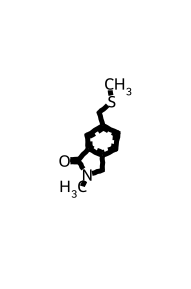 CSCc1ccc2c(c1)C(=O)N(C)C2